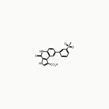 CS(=O)(=O)c1cccc(-c2ccc3[nH]c(=O)c4[nH]cc(C(=O)O)c4c3c2)c1